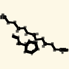 C=COc1ccccc1.COCCOCCOCCOCCO